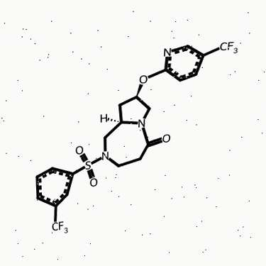 O=C1CCN(S(=O)(=O)c2cccc(C(F)(F)F)c2)C[C@H]2C[C@@H](Oc3ccc(C(F)(F)F)cn3)CN12